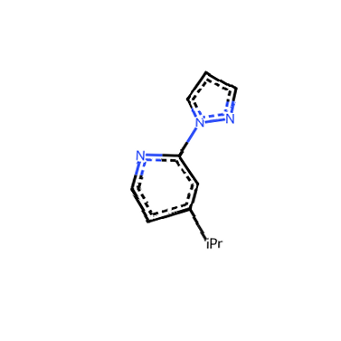 CC(C)c1ccnc(-n2cccn2)c1